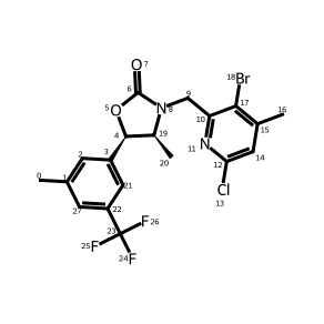 Cc1cc([C@H]2OC(=O)N(Cc3nc(Cl)cc(C)c3Br)[C@H]2C)cc(C(F)(F)F)c1